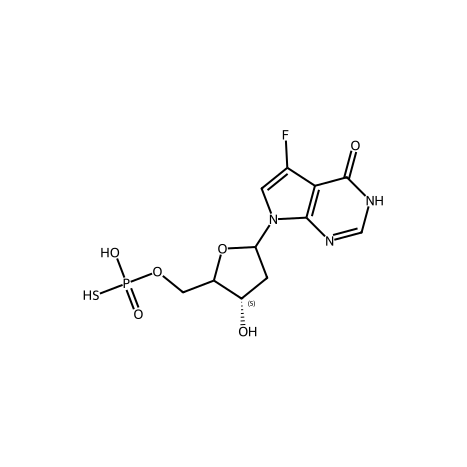 O=c1[nH]cnc2c1c(F)cn2C1C[C@H](O)C(COP(=O)(O)S)O1